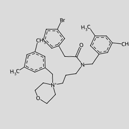 Cc1cc(C)cc(CN(CCC[N+]2(Cc3cc(C)cc(C)c3)CCOCC2)C(=O)Cc2cccc(Br)c2)c1